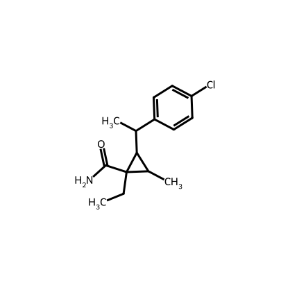 CCC1(C(N)=O)C(C)C1C(C)c1ccc(Cl)cc1